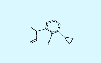 [CH2]C(C=C)c1cccc(C2CC2)c1F